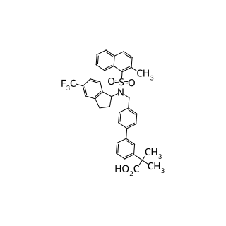 Cc1ccc2ccccc2c1S(=O)(=O)N(Cc1ccc(-c2cccc(C(C)(C)C(=O)O)c2)cc1)C1CCc2cc(C(F)(F)F)ccc21